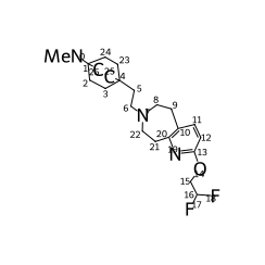 CNC12CCC(CCN3CCc4ccc(OCC(F)F)nc4CC3)(CC1)CC2